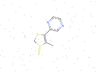 CC1=C(c2cnccn2)SCS1=S